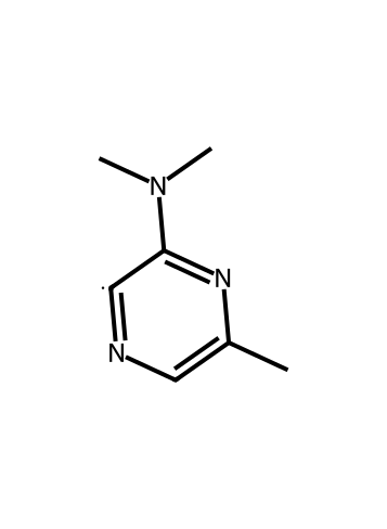 Cc1cn[c]c(N(C)C)n1